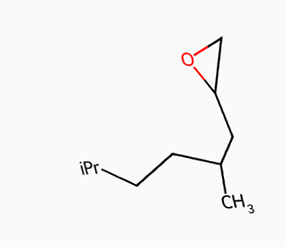 CC(C)CCC(C)CC1CO1